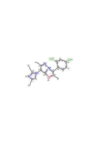 Cc1cn(-c2c(C)nn3c(-c4ccc(Cl)cc4Cl)c(C)oc23)c(C)n1